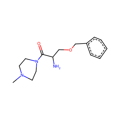 CN1CCN(C(=O)C(N)COCc2ccccc2)CC1